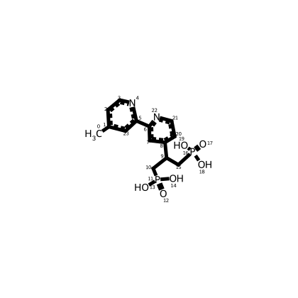 Cc1ccnc(-c2cc(C(CP(=O)(O)O)CP(=O)(O)O)ccn2)c1